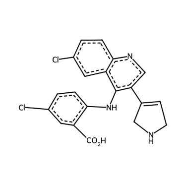 O=C(O)c1cc(Cl)ccc1Nc1c(C2=CCNC2)cnc2ccc(Cl)cc12